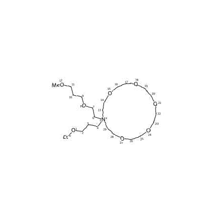 CCOCCC[N+]1(CCOCCCOC)CCOCCOCCOCCOCCOCC1